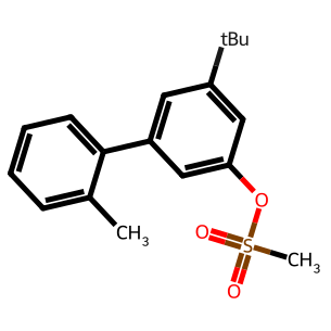 Cc1ccccc1-c1cc(OS(C)(=O)=O)cc(C(C)(C)C)c1